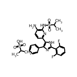 CC(C)S(=O)(=O)Nc1nc(-c2[nH]c(-c3c(F)cccc3F)nc2-c2ccccc2)ccc1N.CC(C)S(=O)(=O)O